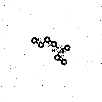 c1ccc(C2=NC(c3ccc4c(c3)sc3c(-c5cccc6c5oc5ccccc56)cccc34)NC(c3cccc4c3oc3ccccc34)N2)cc1